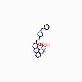 CC(C)(C)N(C(=O)O)c1c2c(nc3cccc(F)c13)CCC(=CCC1CCN(Cc3ccccc3)CC1)C2=O